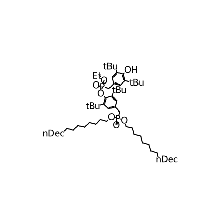 CCCCCCCCCCCCCCCCCCOP(=O)(Cc1cc(C(C)(C)C)c(OP(=O)(Cc2cc(C(C)(C)C)c(O)c(C(C)(C)C)c2)OCC)c(C(C)(C)C)c1)OCCCCCCCCCCCCCCCCCC